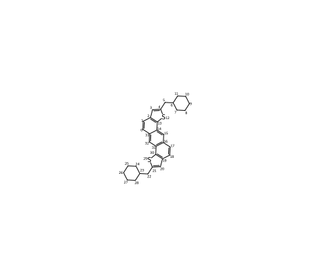 c1cc2cc(CC3CCCCC3)sc2c2cc3ccc4cc(CC5CCCCC5)sc4c3cc12